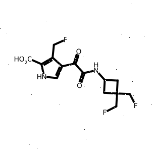 O=C(NC1CC(CF)(CF)C1)C(=O)c1c[nH]c(C(=O)O)c1CF